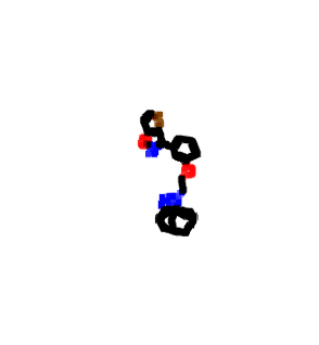 c1cc(OCCNC23CC4CC(CC(C4)C2)C3)cc(-c2noc3ccsc23)c1